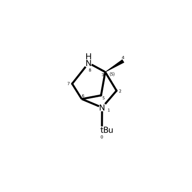 CC(C)(C)N1C[C@]2(C)CC1CN2